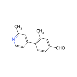 Cc1cc(-c2ccc(C=O)cc2C)ccn1